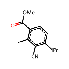 COC(=O)c1ccc(C(C)C)c(C#N)c1C